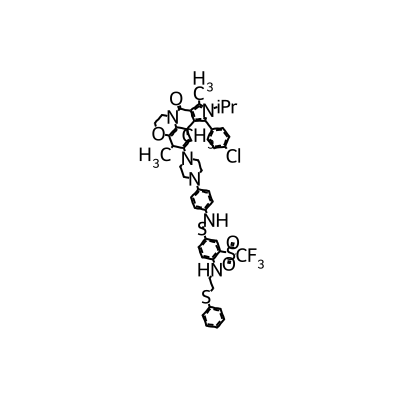 Cc1c2c(c(-c3ccc(Cl)cc3)n1C(C)C)C1(C)C=C(N3CCN(c4ccc(NSc5ccc(NCCSc6ccccc6)c(S(=O)(=O)C(F)(F)F)c5)cc4)CC3)C(C)C3=C1N(CCO3)C2=O